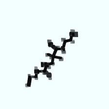 C=CCOC(=O)NCC(C)(C)C(=O)SCCO